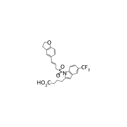 O=C(O)CCCc1cc2cc(C(F)(F)F)ccc2n1S(=O)(=O)CC=Cc1ccc2c(c1)CCO2